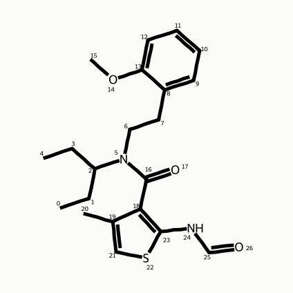 CCC(CC)N(CCc1ccccc1OC)C(=O)c1c(C)csc1NC=O